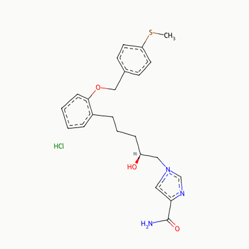 CSc1ccc(COc2ccccc2CCC[C@H](O)Cn2cnc(C(N)=O)c2)cc1.Cl